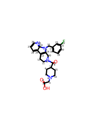 O=C(O)CN1CCC(C(=O)N2CCc3c(n(Cc4cccc(F)c4)c4ncccc34)C2)CC1